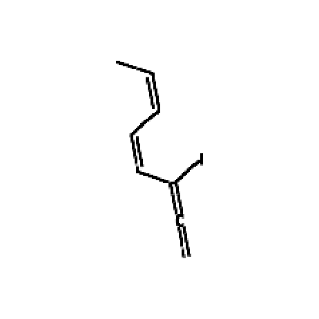 C=C=C(I)/C=C\C=C/C